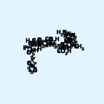 CC(C)[C@H](NC(=O)CCCCCN1COCC=CC1=O)C(=O)N[C@@H](C)C(=O)Nc1ccc(C(=O)NCCC[C@H](NC(=O)c2ccc(N(C)Cc3cnc4nc(N)nc(N)c4n3)cc2)C(=O)O)c(C(=O)O)c1